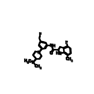 Cc1ccc(F)c2c1NC(C(=O)Nc1cc(CF)cc(N3CCC(N(C)C)CC3)c1)C2